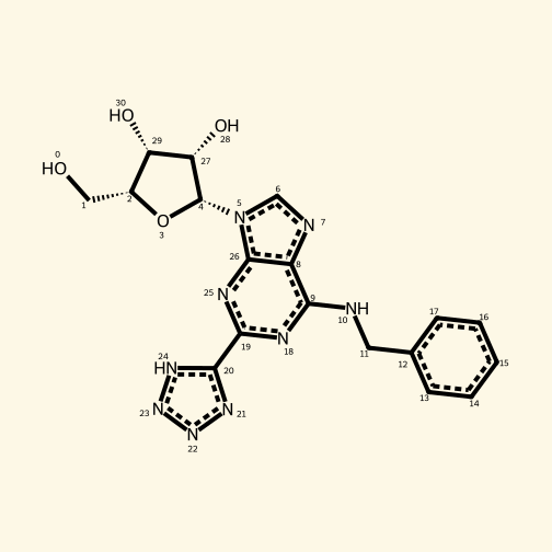 OC[C@H]1O[C@@H](n2cnc3c(NCc4ccccc4)nc(-c4nnn[nH]4)nc32)[C@@H](O)[C@H]1O